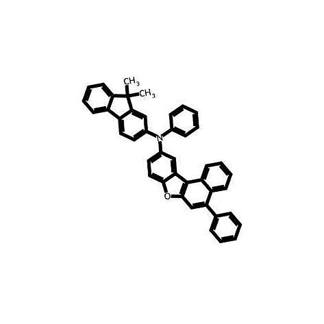 CC1(C)c2ccccc2-c2ccc(N(c3ccccc3)c3ccc4oc5cc(-c6ccccc6)c6ccccc6c5c4c3)cc21